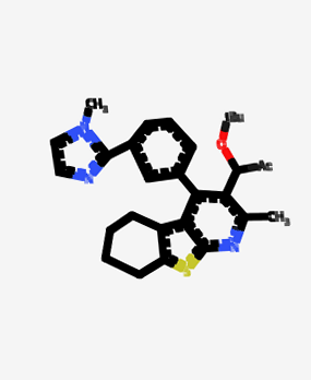 CC(=O)C(OC(C)(C)C)c1c(C)nc2sc3c(c2c1-c1cccc(-c2nccn2C)c1)CCCC3